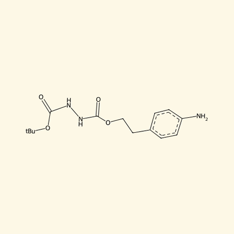 CC(C)(C)OC(=O)NNC(=O)OCCc1ccc(N)cc1